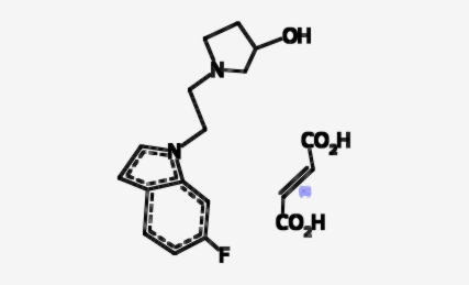 O=C(O)/C=C/C(=O)O.OC1CCN(CCn2ccc3ccc(F)cc32)C1